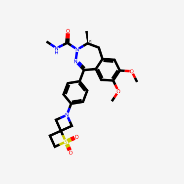 CNC(=O)N1N=C(c2ccc(N3CC4(CCS4(=O)=O)C3)cc2)c2cc(OC)c(OC)cc2C[C@@H]1C